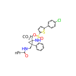 CCCC(=O)NC[C@@]1(c2ccccc2)CC1(NS(=O)(=O)c1ccc(-c2ccc(Cl)cc2)s1)C(=O)O